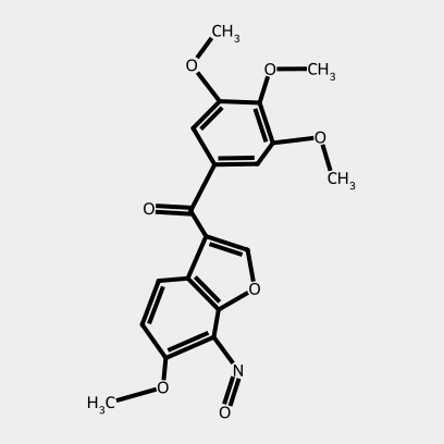 COc1cc(C(=O)c2coc3c(N=O)c(OC)ccc23)cc(OC)c1OC